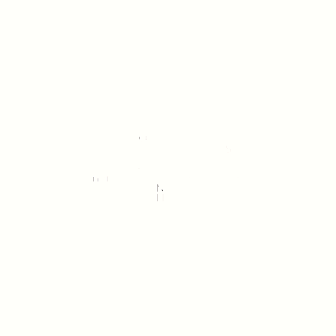 CCCC(=O)Nc1c[c]sc1